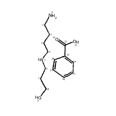 NCCCCNCCCO.O=C(O)c1ccccc1